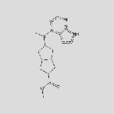 COC(=O)N1CC2CC(N(C)c3ncnc4[nH]ccc34)CC2C1